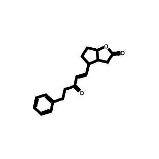 O=C(/C=C/C1CCC2OC(=O)CC12)CCc1ccccc1